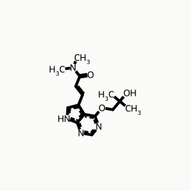 CN(C)C(=O)C=Cc1c[nH]c2ncnc(OCC(C)(C)O)c12